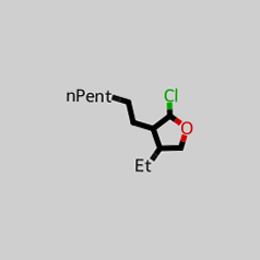 CCCCCCCC1C(CC)COC1Cl